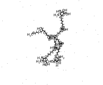 COCCCOCC(CO)COCCCOP(=O)(O)OCC(COCCCOP(=O)(O)OCCCCCCO[C@H](OCCO)C(N)[C@H](C)O)(COCCCOP(=O)(O)OCCCCCCO[C@@H]1OC(CO)[C@H](O)C(O)[C@@H]1C)OCCCOP(=O)(O)OCCCCCCO[C@@H]1OC(CO)[C@H](O)C(O)[C@@H]1N